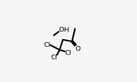 CC(=O)CC(Cl)(Cl)Cl.CO